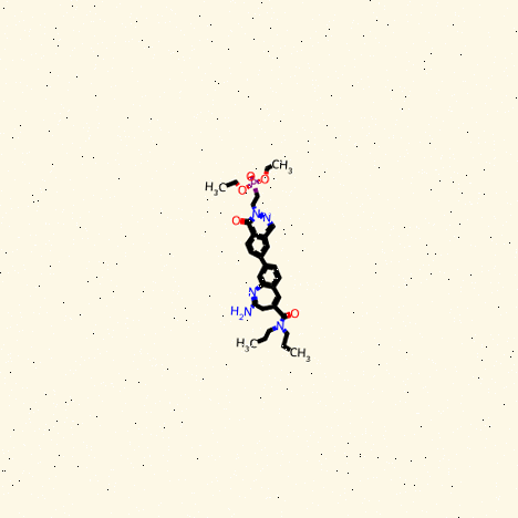 CCCN(CCC)C(=O)C1=Cc2ccc(-c3ccc4c(=O)n(CCP(=O)(OCC)OCC)ncc4c3)cc2N=C(N)C1